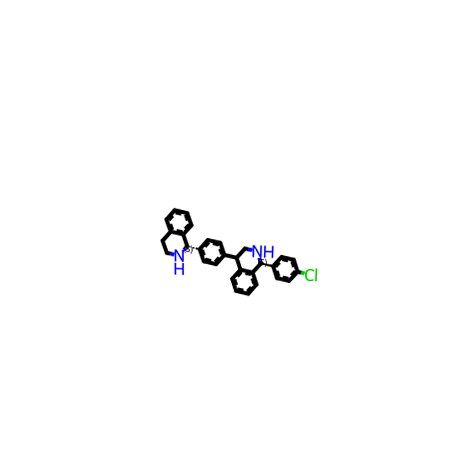 Clc1ccc([C@@H]2NCC(c3ccc([C@@H]4NCCc5ccccc54)cc3)c3ccccc32)cc1